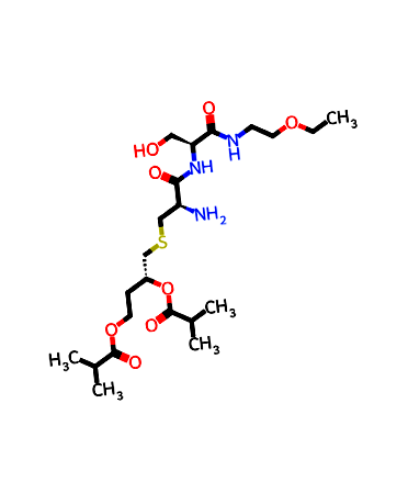 CCOCCNC(=O)[C@H](CO)NC(=O)[C@@H](N)CSC[C@@H](CCOC(=O)C(C)C)OC(=O)C(C)C